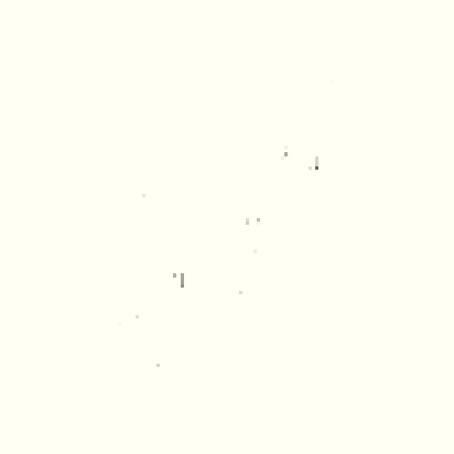 c1ccc(-c2cccc(N(c3ccc(-c4cccc5c4oc4cc6oc(-c7ccccc7)nc6cc45)cc3)c3ccc4ccccc4c3)c2)cc1